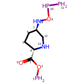 O=C(OP)[C@@H]1CC[C@@H](NOPP)CN1